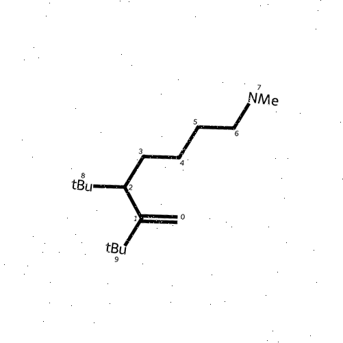 C=C(C(CCCCNC)C(C)(C)C)C(C)(C)C